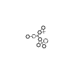 CC1(C)c2ccccc2-c2ccc(N(c3ccc4c(c3)-c3ccccc3C4(C3=CC=CC=CC3)c3ccccc3)C3C=CC(c4ccccc4)=CC3)cc21